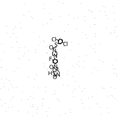 CN(C[C@@H]1CN(c2ccc(N3CCN(C(=O)CSc4cc(Cl)ccc4Cl)CC3)c(F)c2)C(=O)O1)C(=O)S